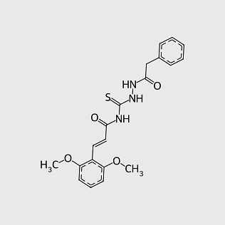 COc1cccc(OC)c1C=CC(=O)NC(=S)NNC(=O)Cc1ccccc1